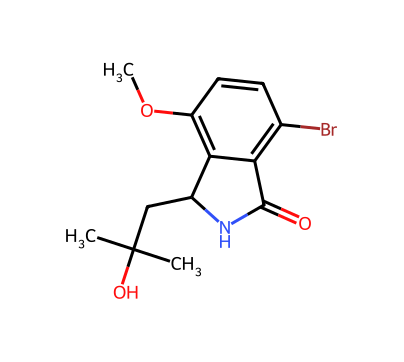 COc1ccc(Br)c2c1C(CC(C)(C)O)NC2=O